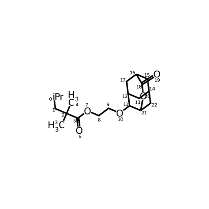 CC(C)CC(C)(C)C(=O)OCCOC1C2CC3CC(C2)C(=O)OC1C3